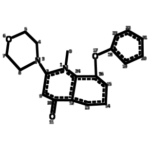 Cn1c(N2CCOCC2)cc(=O)c2cccc(Oc3ccccc3)c21